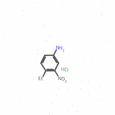 CCc1ccc(N)cc1[N+](=O)[O-].Cl